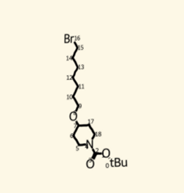 CC(C)(C)OC(=O)N1CCC(OCCCCCCCBr)CC1